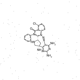 N#Cc1c(N)nc(N)nc1[C@@]1(N)CN[C@H](c2nc3cccc(Cl)c3c(=O)n2-c2ccccc2)C1